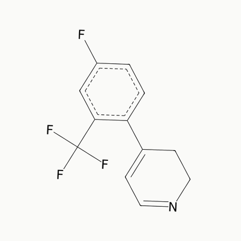 Fc1ccc(C2=CC=NCC2)c(C(F)(F)F)c1